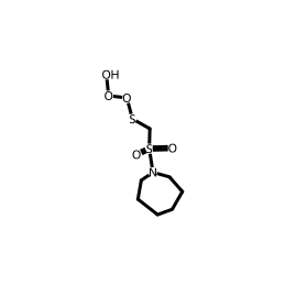 O=S(=O)(CSOOO)N1CCCCCC1